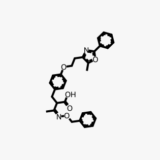 CC(=NOCc1ccccc1)C(Cc1ccc(OCCc2nc(-c3ccccc3)oc2C)cc1)C(=O)O